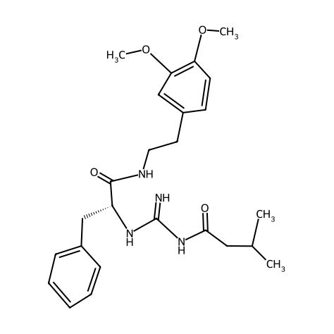 COc1ccc(CCNC(=O)[C@@H](Cc2ccccc2)NC(=N)NC(=O)CC(C)C)cc1OC